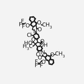 CCOc1c2c(c(OCC(F)(F)F)c3ccccc13)C(=O)N(c1ccc(C(CC)(C(=O)O)C(C(=O)O)c3ccc(N4Cc5c(c(OCC)c6ccccc6c5OCC(F)(F)F)C4=O)c(Cl)c3)cc1Cl)C2